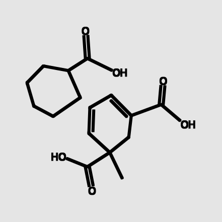 CC1(C(=O)O)C=CC=C(C(=O)O)C1.O=C(O)C1CCCCC1